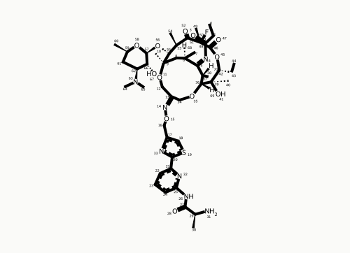 CCC(=O)/N=C1\[C@H](C)C[C@@]2(C)OC/C(=N/OCc3csc(-c4cccc(NC(=O)[C@H](C)N)n4)n3)CO[C@H]([C@H]1C)[C@](C)(O)[C@@H](CC)OC(=O)[C@@](C)(F)C(=O)[C@H](C)[C@H]2O[C@@H]1O[C@H](C)C[C@H](N(C)C)[C@H]1O